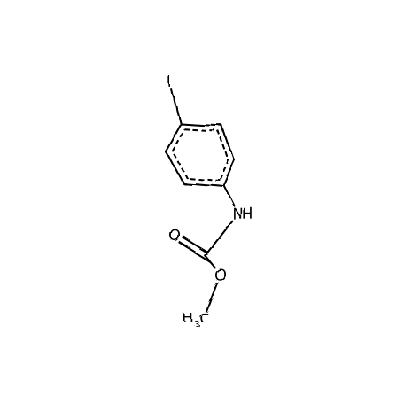 COC(=O)Nc1ccc(I)cc1